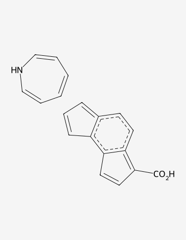 C1=CC=CNC=C1.O=C(O)C1=c2ccc3c(c2C=C1)C=CC=3